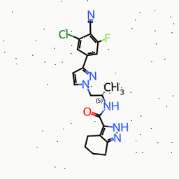 C[C@@H](Cn1ccc(-c2cc(F)c(C#N)c(Cl)c2)n1)NC(=O)c1[nH]nc2c1CCCC2